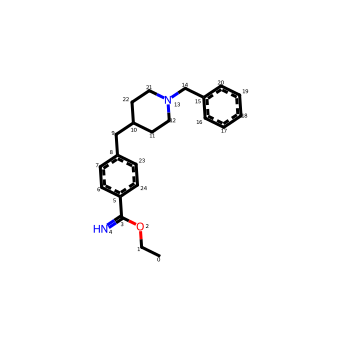 CCOC(=N)c1ccc(CC2CCN(Cc3ccccc3)CC2)cc1